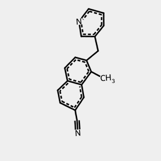 Cc1c(Cc2cccnc2)ccc2ccc(C#N)cc12